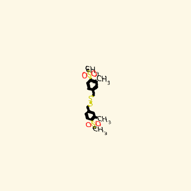 Cc1cc(CSSCc2ccc(S(C)(=O)=O)c(C)c2)ccc1S(C)(=O)=O